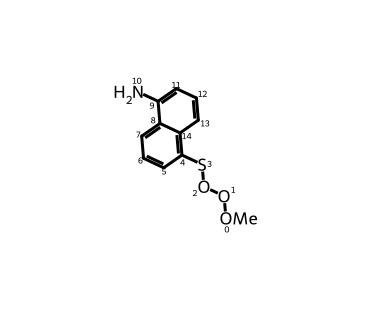 COOOSc1cccc2c(N)cccc12